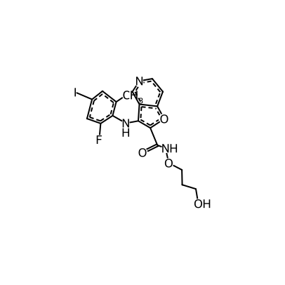 Cc1cc(I)cc(F)c1Nc1c(C(=O)NOCCCO)oc2ccncc12